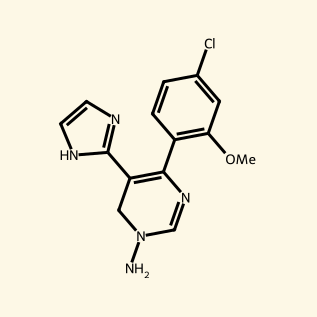 COc1cc(Cl)ccc1C1=C(c2ncc[nH]2)CN(N)C=N1